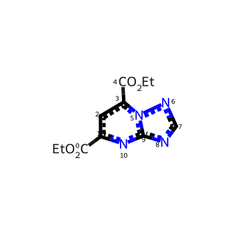 CCOC(=O)c1cc(C(=O)OCC)n2ncnc2n1